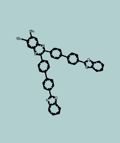 CC(C)(C)c1cc2nc(-c3ccc(-c4ccc(-c5nc6ccccc6o5)cc4)cc3)c(-c3ccc(-c4ccc(-c5nc6ccccc6o5)cc4)cc3)nc2cc1C(C)(C)C